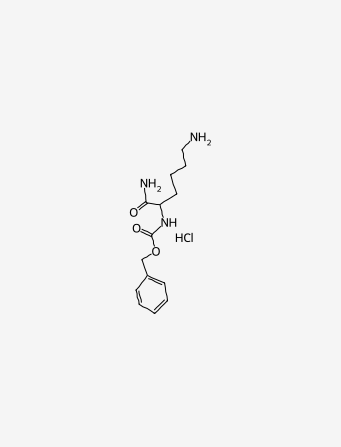 Cl.NCCCCC(NC(=O)OCc1ccccc1)C(N)=O